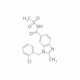 Cc1nc2ccc(C(=O)NS(C)(=O)=O)cc2n1Cc1ccccc1Cl